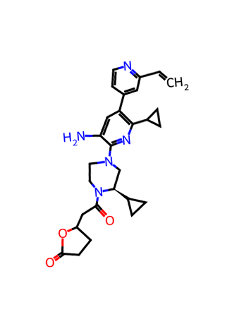 C=Cc1cc(-c2cc(N)c(N3CCN(C(=O)CC4CCC(=O)O4)[C@H](C4CC4)C3)nc2C2CC2)ccn1